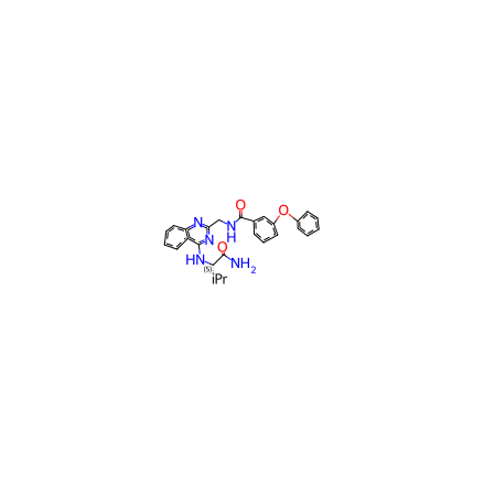 CC(C)[C@H](Nc1nc(CNC(=O)c2cccc(Oc3ccccc3)c2)nc2ccccc12)C(N)=O